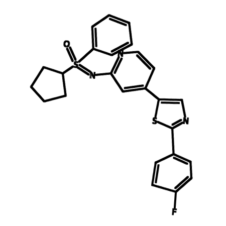 O=S(=Nc1cc(-c2cnc(-c3ccc(F)cc3)s2)ccn1)(c1ccccc1)C1CCCC1